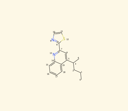 CCCC(C)c1cc(-c2nccs2)nc2ccccc12